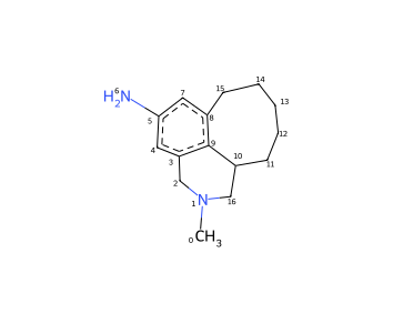 CN1Cc2cc(N)cc3c2C(CCCCC3)C1